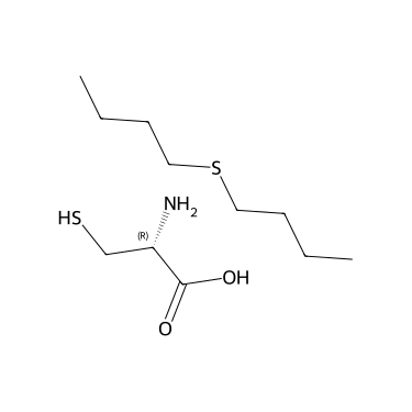 CCCCSCCCC.N[C@@H](CS)C(=O)O